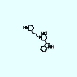 Cl.c1ccc2c(C3CCCN(CCCC4CCCNC4)C3)c[nH]c2c1